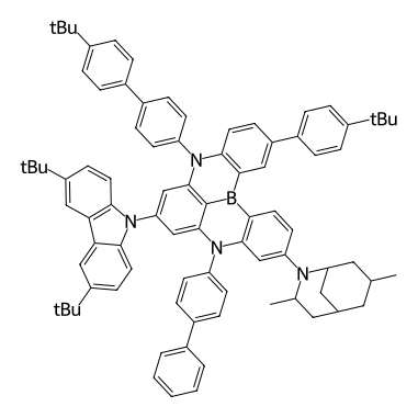 CC1CC2CC(C)N(c3ccc4c(c3)N(c3ccc(-c5ccccc5)cc3)c3cc(-n5c6ccc(C(C)(C)C)cc6c6cc(C(C)(C)C)ccc65)cc5c3B4c3cc(-c4ccc(C(C)(C)C)cc4)ccc3N5c3ccc(-c4ccc(C(C)(C)C)cc4)cc3)C(C1)C2